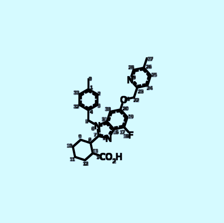 Cc1ccc(Cn2c(C3CCCCC3C(=O)O)nc3c(F)cc(OCc4ccc(C)cn4)cc32)cc1